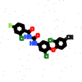 N#Cc1ccc(Oc2ccc(NC(=O)NC(=O)c3ccc(F)cc3Cl)cc2Cl)c(Cl)c1